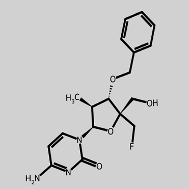 C[C@@H]1[C@H](n2ccc(N)nc2=O)O[C@@](CO)(CF)[C@H]1OCc1ccccc1